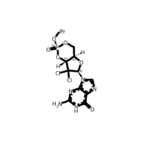 CC(C)O[P@@]1(=O)OC[C@H]2O[C@@H](n3cnc4c(=O)[nH]c(N)nc43)C(Cl)(Cl)[C@@H]2O1